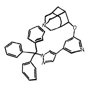 c1ccc(C(c2ccccc2)(c2ccccc2)n2cc(-c3cncc(OC4C5CC6CC4CN(C6)C5)c3)cn2)cc1